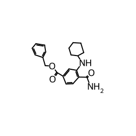 NC(=O)c1ccc(C(=O)OCc2ccccc2)cc1NC1CCCCC1